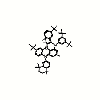 Cc1cc2c3c(c1)N(c1cc(C(C)(C)C)cc(C(C)(C)C)c1)c1c(oc4c#cc(C(C)(C)C)cc14)B3c1cc(C(C)(C)C)ccc1N2c1ccc2c(c1)C(C)(C)CCC2(C)C